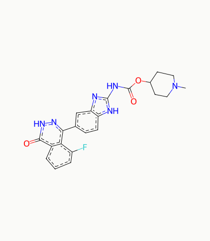 CN1CCC(OC(=O)Nc2nc3cc(-c4n[nH]c(=O)c5cccc(F)c45)ccc3[nH]2)CC1